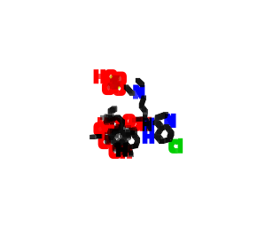 C=C[C@@]1(C)CC(=O)[C@]2(O)[C@@]3(C)[C@@H](O)CCC(C)(C)[C@@H]3[C@H](O)[C@H](OC(C)=O)[C@@]2(C)O1.CCN(CCCC(C)Nc1ccnc2cc(Cl)ccc12)CCOS(=O)(=O)O